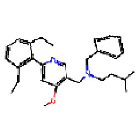 CCc1cccc(CC)c1-c1cc(OC)c(CN(CCC(C)C)Cc2ccccc2)cn1